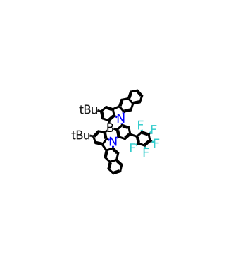 CC(C)(C)c1cc2c3c(c1)c1cc4ccccc4cc1n3-c1cc(-c3c(F)c(F)c(F)c(F)c3F)cc3c1B2c1cc(C(C)(C)C)cc2c4cc5ccccc5cc4n-3c12